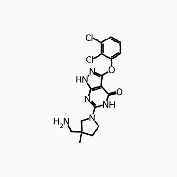 CC1(CN)CCN(c2nc3[nH]nc(Oc4cccc(Cl)c4Cl)c3c(=O)[nH]2)C1